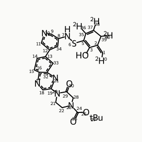 [2H]C=C1C(O)=C(SNc2cncc(-c3ccc4ncc(N5CCN(C(=O)OC(C)(C)C)CC5=O)nc4c3)c2)C([2H])=C([2H])C1[2H]